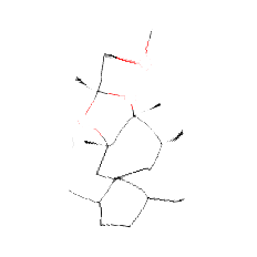 COC[C@@]1(C)O[C@H]2CC3(C[C@H](C)[C@@]2(C)O1)C(C)CCC3C